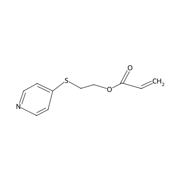 C=CC(=O)OCCSc1ccncc1